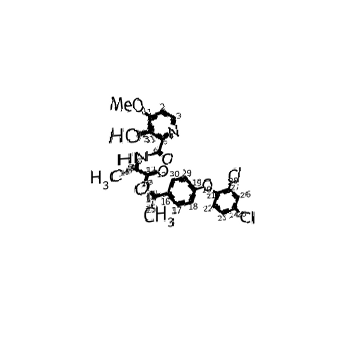 COc1ccnc(C(=O)N[C@@H](C)C(=O)O[C@@H](C)c2ccc(Oc3ccc(Cl)cc3Cl)cc2)c1O